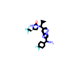 NC(c1cn2ncc(C(C3CC3)N3C[C@H](CC(F)(F)F)NC3=O)cc2n1)C1CCC(F)(F)CC1